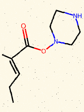 CCC=C(C)C(=O)ON1CCNCC1